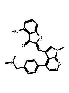 CN(C)Cc1ccc(-c2ccnc3c2c(/C=C2\Oc4cccc(O)c4C2=O)cn3C)cc1